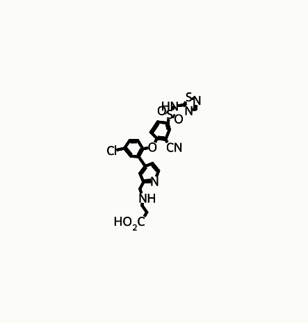 N#Cc1cc(S(=O)(=O)Nc2ncns2)ccc1Oc1ccc(Cl)cc1-c1ccnc(CNCCC(=O)O)c1